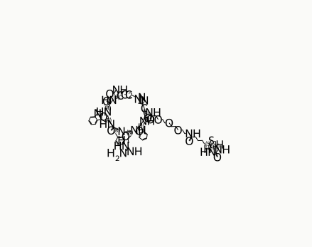 C[C@H]1NC(=O)[C@H](Cc2cn(C)c3ccccc23)NC(=O)[C@@H](Cc2ccccc2)NC(=O)[C@@H](CCCNC(=N)N)NC(=O)[C@@H](Cc2ccccc2)NC(=O)[C@@H](NC(=O)COCCOCCOCCNC(=O)CCCC[C@@H]2SC[C@@H]3NC(=O)N[C@@H]32)Cc2cn(nn2)CCCC[C@@H](C(N)=O)NC1=O